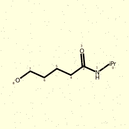 CC(C)NC(=O)CCCC[O]